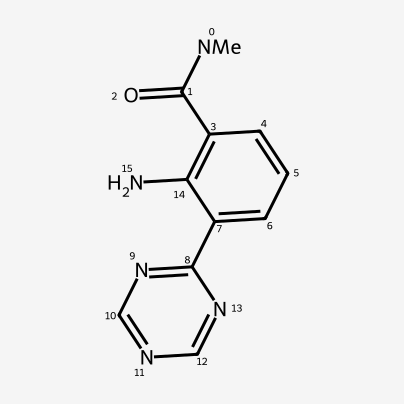 CNC(=O)c1cccc(-c2ncncn2)c1N